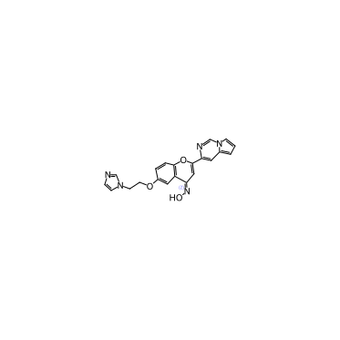 O/N=c1/cc(-c2cc3cccn3cn2)oc2ccc(OCCn3ccnc3)cc12